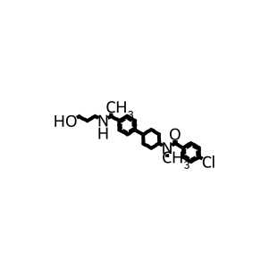 CC(NCCCO)c1ccc(C2CCC(N(C)C(=O)c3ccc(Cl)cc3)CC2)cc1